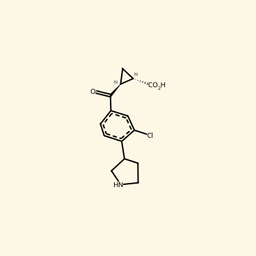 O=C(O)[C@H]1C[C@@H]1C(=O)c1ccc(C2CCNC2)c(Cl)c1